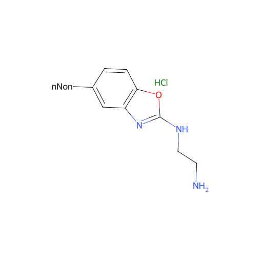 CCCCCCCCCc1ccc2oc(NCCN)nc2c1.Cl